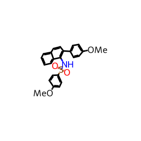 COc1ccc(-c2ccc3ccccc3c2NS(=O)(=O)c2ccc(OC)cc2)cc1